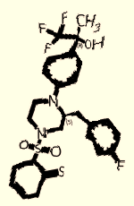 C[C@@](O)(c1ccc(N2CCN(S(=O)(=O)C3=CC=CCC3=S)C[C@@H]2Cc2ccc(F)cc2)cc1)C(F)(F)F